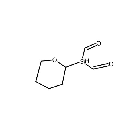 O=C[SiH](C=O)C1CCCCO1